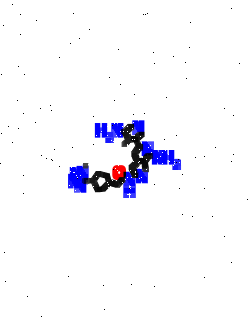 Cc1c(N)cncc1-c1cc2cc(NC(=O)C=C3CCC(c4nnnn4C)CC3)ncc2c(N)n1